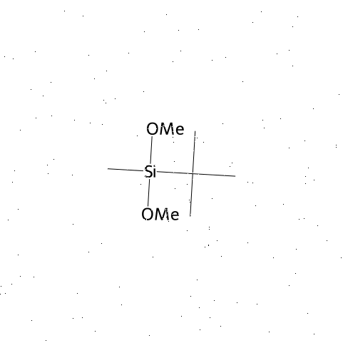 CO[Si](C)(OC)C(C)(C)C